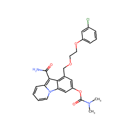 CN(C)C(=O)Oc1cc(COCCOc2cccc(Cl)c2)c2c(C(N)=O)c3ccccn3c2c1